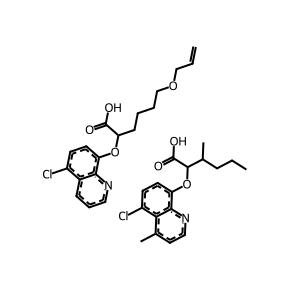 C=CCOCCCCC(Oc1ccc(Cl)c2cccnc12)C(=O)O.CCCC(C)C(Oc1ccc(Cl)c2c(C)ccnc12)C(=O)O